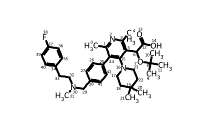 Cc1nc(C)c(C(OC(C)(C)C)C(=O)O)c(N2CCC(C)(C)CC2)c1-c1ccc(CN(C)CCc2ccc(F)cc2)cc1